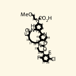 COCCN(C(=O)O)c1ccc2c(c1)NC(=O)[C@H](C)CCC[C@H](N1CC[C@H](c3c(F)ccc(Cl)c3F)OC1=O)c1ccnc-2c1